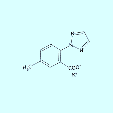 Cc1ccc(-n2nccn2)c(C(=O)[O-])c1.[K+]